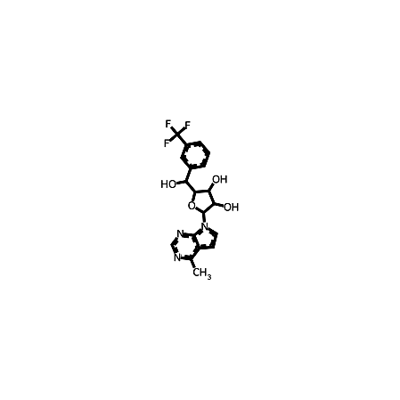 Cc1ncnc2c1ccn2C1OC(C(O)c2cccc(C(F)(F)F)c2)C(O)C1O